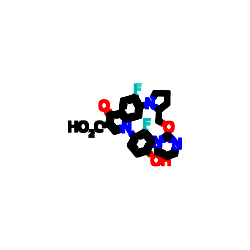 O=C(O)c1cn(-c2ccc(O)cc2F)c2cc(N3CCCC3COc3ncccn3)c(F)cc2c1=O